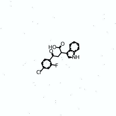 O=C(CC(C(=O)O)c1c[nH]c2ccccc12)c1ccc(Cl)cc1F